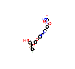 O=C1CCC(N2Cc3cc(C4CCN(CCN5CCC(COc6ccc(Oc7c(-c8ccc(F)cc8)sc8cc(O)ccc78)cc6)CC5)CC4)ccc3C2=O)C(=O)N1